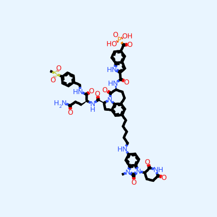 Cn1c(=O)n(C2CCC(=O)NC2=O)c2ccc(NCCCCCc3cc4c5c(c3)C[C@@H](C(=O)N[C@@H](CCC(N)=O)C(=O)NCc3ccc(S(C)(=O)=O)cc3)N5C(=O)[C@@H](NC(=O)c3cc5cc(C(=O)P(=O)(O)O)ccc5[nH]3)CC4)cc21